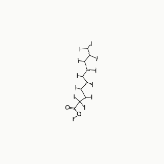 O=C(OI)C(I)(I)C(I)C(I)C(I)C(I)C(I)C(I)C(I)C(I)I